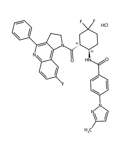 Cc1ccn(-c2ccc(C(=O)N[C@@H]3CCC(F)(F)C[C@H]3C(=O)N3CCc4c(-c5ccccc5)nc5ccc(F)cc5c43)cc2)n1.Cl